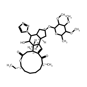 CC[C@H]1CCCC[C@@H](C)C(=O)C2=C[C@@H]3[C@@H](C(O)C(n4ccnn4)C4C[C@@H](OC5OC(C)C(OC)C(OC)C5OC)C[C@H]43)[C@@H]2CC(=O)O1